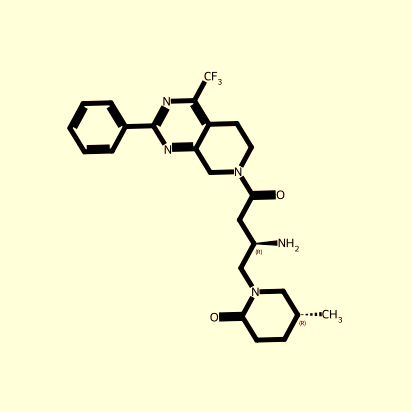 C[C@@H]1CCC(=O)N(C[C@H](N)CC(=O)N2CCc3c(nc(-c4ccccc4)nc3C(F)(F)F)C2)C1